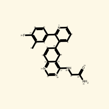 Cc1cc(-c2ncccc2-c2ccc3ncnc(NCC(N)=O)c3c2)ccc1F